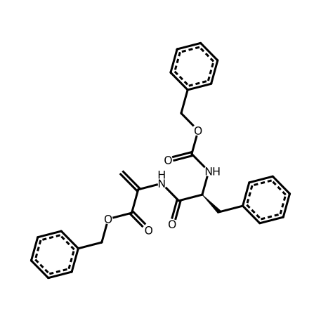 C=C(NC(=O)[C@H](Cc1ccccc1)NC(=O)OCc1ccccc1)C(=O)OCc1ccccc1